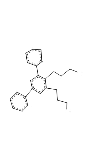 CCCCc1cc(-c2ccccc2)cc(-c2ccccc2)c1CCCC